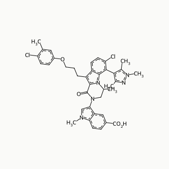 Cc1cc(OCCCc2c3n(c4c(-c5c(C)nn(C)c5C)c(Cl)ccc24)C(C)CN(c2cn(C)c4ccc(C(=O)O)cc24)C3=O)ccc1Cl